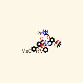 COc1ccc(COC(=O)[C@H]2CCCC[C@H]2C(=O)N2CCc3c(B4OC(C)(C)C(C)(C)O4)ccc(OCc4cn(C(C)C)nn4)c3[C@H]2CN2Cc3ccccc3C2=O)c(OC)c1